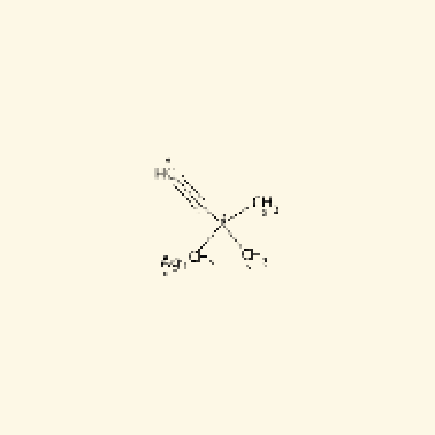 C#CC(C)(C)C.[Ag]